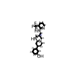 N=N/C(=C\Nc1ncccc1C(F)(F)F)CN1CCC(c2cccc(O)c2)CC1